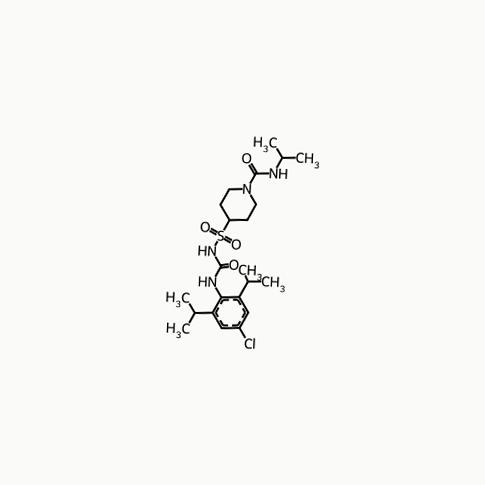 CC(C)NC(=O)N1CCC(S(=O)(=O)NC(=O)Nc2c(C(C)C)cc(Cl)cc2C(C)C)CC1